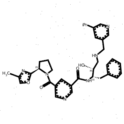 Cc1coc([C@H]2CCCN2C(=O)c2cncc(C(=O)N[C@@H](Cc3ccccc3)[C@H](O)CNCc3cncc(C(C)C)c3)c2)n1